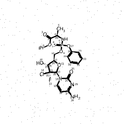 CC(C)OC(=O)[C@@H](C)NP(=S)(OC[C@H]1O[C@@H](n2ccc(N)nc2=O)[C@@](F)(Cl)[C@@H]1O)Oc1ccccc1